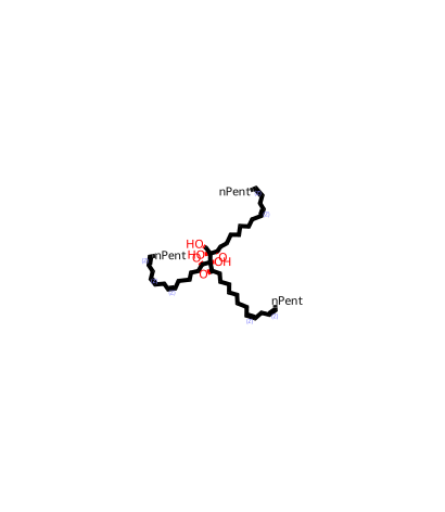 CCCCC/C=C\C/C=C\C/C=C\CCCCC(=O)C(O)(C(=O)CCCCCCC/C=C\C/C=C\CCCCC)C(O)(CO)C(=O)CCCCCCC/C=C\C/C=C\CCCCC